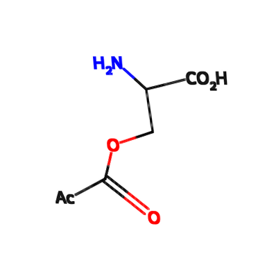 CC(=O)C(=O)OCC(N)C(=O)O